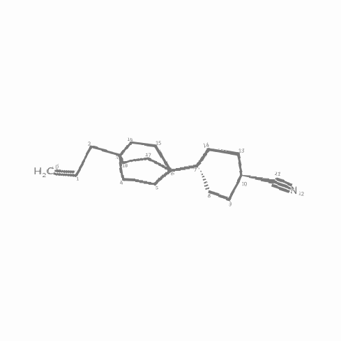 C=CCC12CCC([C@H]3CC[C@H](C#N)CC3)(CC1)CC2